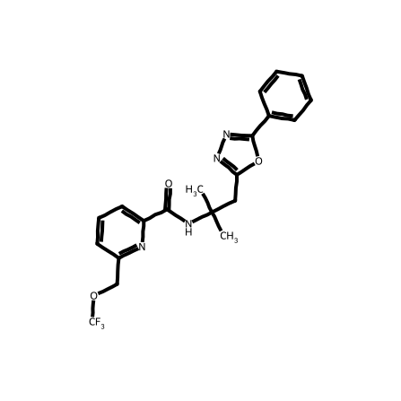 CC(C)(Cc1nnc(-c2ccccc2)o1)NC(=O)c1cccc(COC(F)(F)F)n1